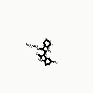 O=C1Nc2cc[c]([Na])cc2C1=C1Nc2ccccc2C1=NOS(=O)(=O)O